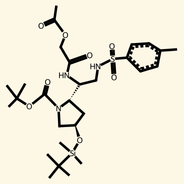 CC(=O)OCC(=O)NC(CNS(=O)(=O)c1ccc(C)cc1)[C@@H]1C[C@@H](O[Si](C)(C)C(C)(C)C)CN1C(=O)OC(C)(C)C